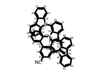 C=C/C=C\c1c(C)c2cccc(-n3c4ccccc4c4ccccc43)c2n1-c1ccccc1-c1cc(C#N)cc(-n2c3ccccc3c3cccc(C#N)c32)c1